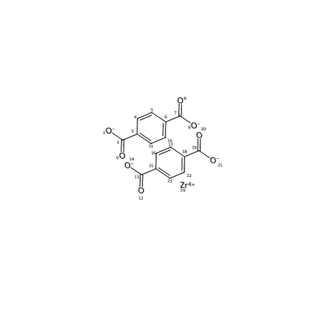 O=C([O-])c1ccc(C(=O)[O-])cc1.O=C([O-])c1ccc(C(=O)[O-])cc1.[Zr+4]